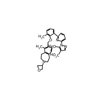 COc1c(C(=O)O)cnn1-c1cccc(-c2cccc(C)c2OCc2ccc3c(c2C)CCN(C2COC2)CC3)n1